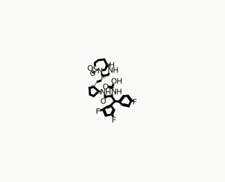 O=C(O)NC(C(=O)N[C@H]1CCC[C@@H]1CC[C@H]1CN[C@@H]2CCCS(=O)(=O)N1C2)C(c1ccc(F)cc1)c1cc(F)cc(F)c1